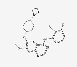 COc1cc2ncnc(Nc3cccc(Cl)c3F)c2cc1O[C@H]1CC[C@@H](N2CCC2)CC1